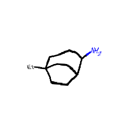 CCC12CCC(N)C(CC1)CC2